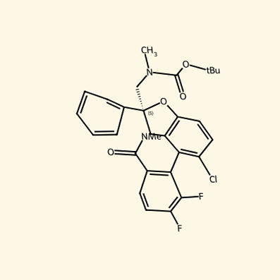 CNC(=O)c1ccc(F)c(F)c1-c1c(Cl)ccc2c1C[C@@](CN(C)C(=O)OC(C)(C)C)(c1ccccc1)O2